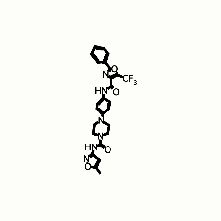 Cc1cc(NC(=O)N2CCN(c3ccc(NC(=O)c4nc(-c5ccccc5)oc4C(F)(F)F)cc3)CC2)no1